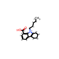 CCCCCn1c2c(c3cccc(C(=O)O)c31)CCCC2